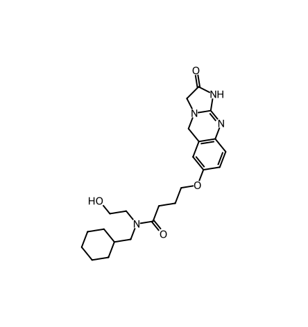 O=C1CN2Cc3cc(OCCCC(=O)N(CCO)CC4CCCCC4)ccc3N=C2N1